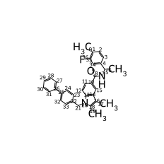 Cc1ccc([C@@H](C)NC(=O)c2ccc3c(c2)c(C)c(C)n3Cc2ccc(-c3ccccc3)cc2)cc1F